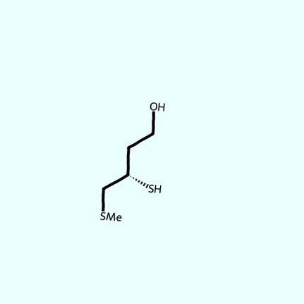 CSC[C@@H](S)CCO